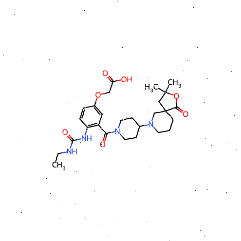 CCNC(=O)Nc1ccc(OCC(=O)O)cc1C(=O)N1CCC(N2CCCC3(C2)CC(C)(C)OC3=O)CC1